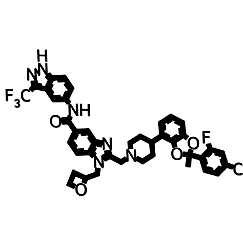 CC1(c2ccc(Cl)cc2F)Oc2cccc(C3CCN(Cc4nc5cc(C(=O)Nc6ccc7[nH]nc(C(F)(F)F)c7c6)ccc5n4CC4CCO4)CC3)c2O1